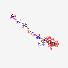 CC(=O)N[C@H]1[C@H](OCCCNC(=O)CCOCCNC(=O)COc2ccc(-c3cccc(C(=O)NCCNC(=O)CCOCCN4C(=O)C=CC4=O)c3)cc2)O[C@H](CO)[C@@H](O[C@@H]2O[C@H](CO)[C@H](O)[C@H](O[C@H]3O[C@H](CO)[C@H](O)[C@H](O)[C@H]3O)[C@H]2O)[C@@H]1O